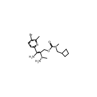 Cc1nc(/C(N)=C(\COC(=O)N(C)CC2CCC2)N(C)N)ccc1Br